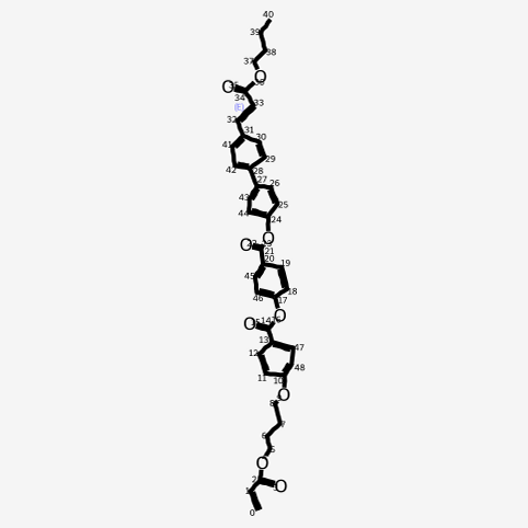 C=CC(=O)OCCCCOc1ccc(C(=O)Oc2ccc(C(=O)Oc3ccc(-c4ccc(/C=C/C(=O)OCCCC)cc4)cc3)cc2)cc1